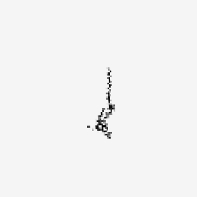 CCCCCCCCCCCCCCCc1cn(CCCCOn2c(CCCC)nc3c(N)nc4cc(P(C)(C)=O)ccc4c32)nn1